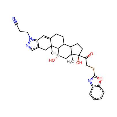 CC12Cc3cnn(CCC#N)c3C=C1CCC1C2[C@@H](O)CC2(C)C1CCC2(O)C(=O)CSc1nc2ccccc2o1